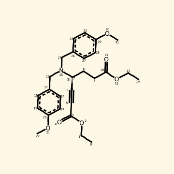 CCOC(=O)C#C[C@H](CCC(=O)OCC)N(Cc1ccc(OC)cc1)Cc1ccc(OC)cc1